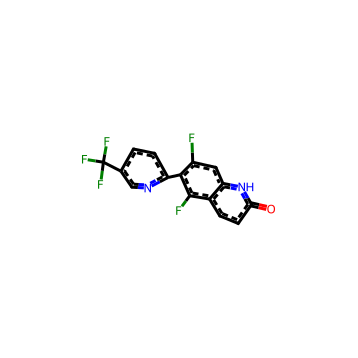 O=c1ccc2c(F)c(-c3ccc(C(F)(F)F)cn3)c(F)cc2[nH]1